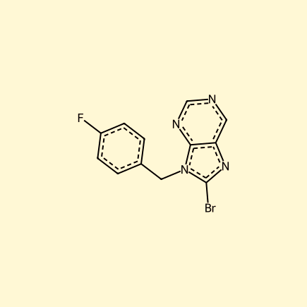 Fc1ccc(Cn2c(Br)nc3cncnc32)cc1